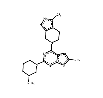 CCCc1cc2c(N3CCn4c(nnc4C(F)(F)F)C3)nc(N3CCCC(NC(C)=O)C3)nc2s1